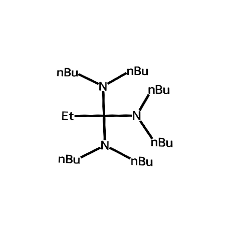 [CH2]CC(N(CCCC)CCCC)(N(CCCC)CCCC)N(CCCC)CCCC